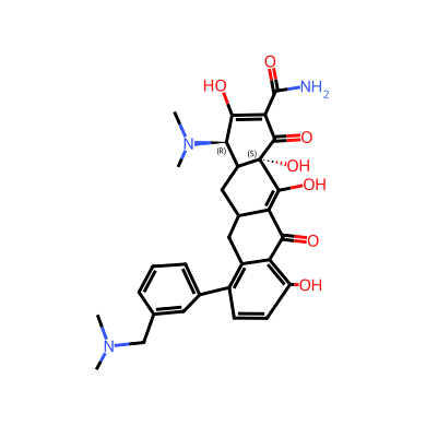 CN(C)Cc1cccc(-c2ccc(O)c3c2CC2CC4[C@@H](N(C)C)C(O)=C(C(N)=O)C(=O)[C@@]4(O)C(O)=C2C3=O)c1